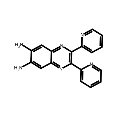 Nc1cc2nc(-c3ccccn3)c(-c3ccccn3)nc2cc1N